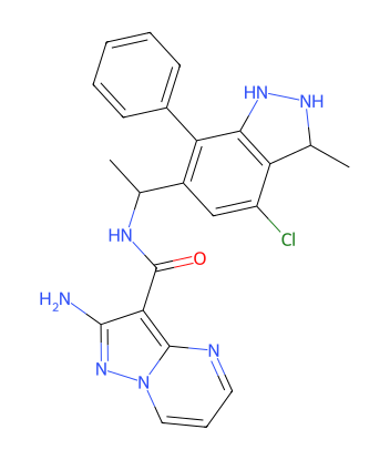 CC(NC(=O)c1c(N)nn2cccnc12)c1cc(Cl)c2c(c1-c1ccccc1)NNC2C